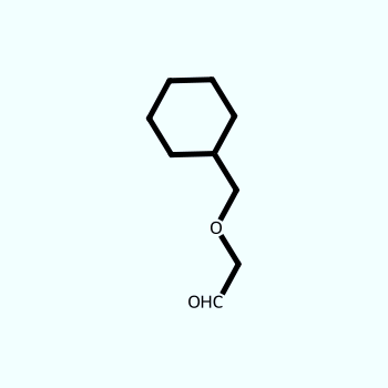 O=CCOCC1CCCCC1